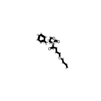 CCCCOCCCC(=O)N1C(=O)OC[C@H]1Cc1ccccc1